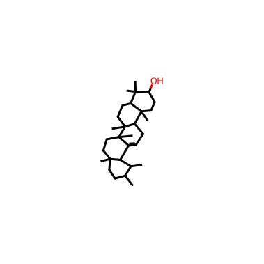 CC1CCC2(C)CCC3(C)C(=CCC4C5(C)CCC(O)C(C)(C)C5CCC43C)C2C1C